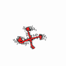 CC(=O)NC1C(OCCCCC(=O)NCCCNC(=O)CCOCC(COCCC(=O)NCCCNC(=O)CCCCOC2OC(COC(C)=O)C(OC(C)=O)C(OC(C)=O)C2NC(C)=O)(COCCC(=O)NCCCNC(=O)CCCCOC2OC(COC(C)=O)C(OC(C)=O)C(OC(C)=O)C2NC(C)=O)NC(=O)CCCCCCCCCCC(=O)OCc2ccccc2)OC(COC(C)=O)C(OC(C)=O)C1OC(C)=O